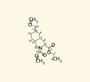 CCOC(=O)C1CC2C/C(=C/OC)CCC2CN1C(=O)OC